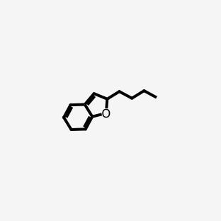 CCCCC1C=C2C=CCC=C2O1